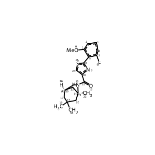 COc1cccc(F)c1-c1nc(C(=O)N2C[C@@H]3CC(C)(C)C[C@@]2(C)C3)cs1